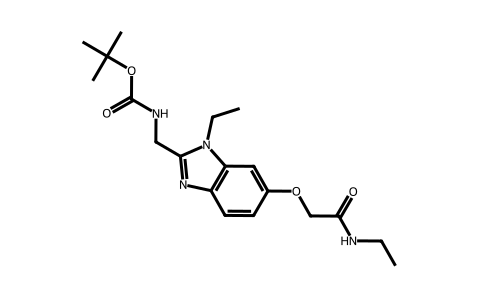 CCNC(=O)COc1ccc2nc(CNC(=O)OC(C)(C)C)n(CC)c2c1